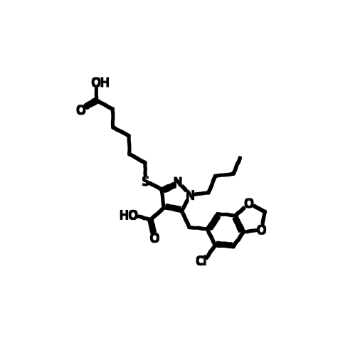 CCCCn1nc(SCCCCCC(=O)O)c(C(=O)O)c1Cc1cc2c(cc1Cl)OCO2